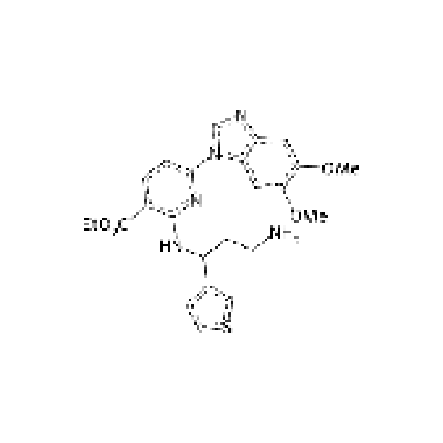 CCOC(=O)c1ccc(-n2cnc3cc(OC)c(OC)cc32)nc1NC(CCN)c1ccsc1